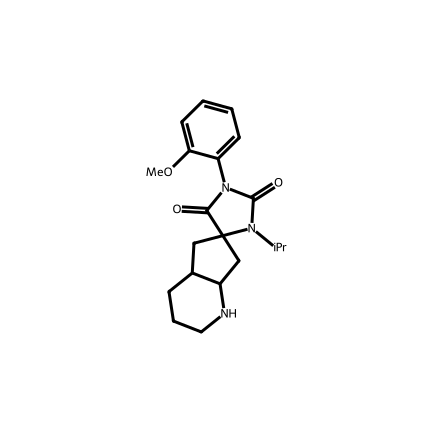 COc1ccccc1N1C(=O)N(C(C)C)C2(CC3CCCNC3C2)C1=O